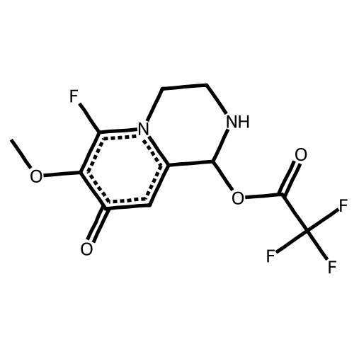 COc1c(F)n2c(cc1=O)C(OC(=O)C(F)(F)F)NCC2